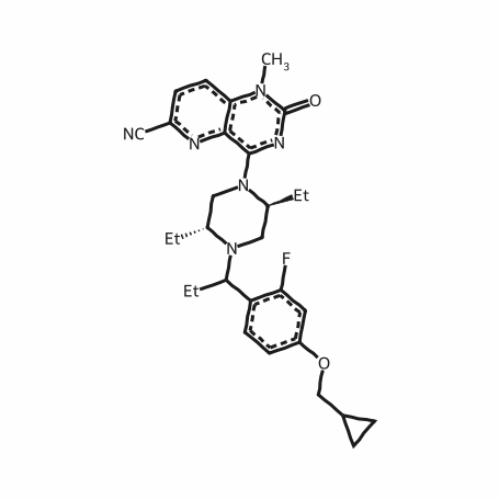 CCC(c1ccc(OCC2CC2)cc1F)N1C[C@H](CC)N(c2nc(=O)n(C)c3ccc(C#N)nc23)C[C@H]1CC